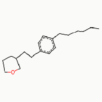 CCCCCCc1ccc(CCC2CCCOC2)cc1